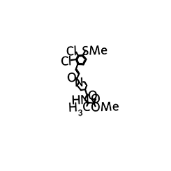 COC(=O)C(C)NC(=O)C1CCN(C(=O)C=Cc2ccc(SC)c(Cl)c2Cl)CC1